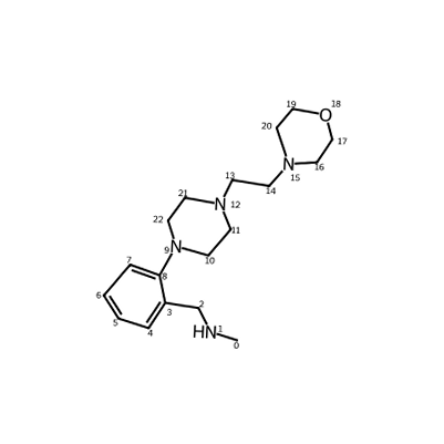 CNCc1ccccc1N1CCN(CCN2CCOCC2)CC1